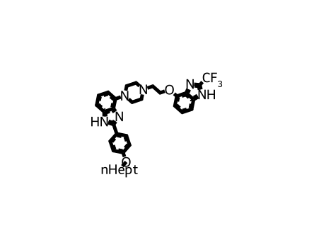 CCCCCCCOc1ccc(-c2nc3c(N4CCN(CCOc5cccc6[nH]c(C(F)(F)F)nc56)CC4)cccc3[nH]2)cc1